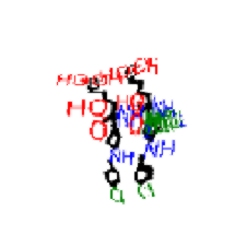 Cl.Cl.Cl.Cl.NC(CCCCB(O)O)(C(=O)O)C1CC(NCc2ccc(Cl)cc2)C1.NC(CCCCB(O)O)(C(=O)O)[C@H]1C[C@@H](NCc2ccc(Cl)cc2)C1